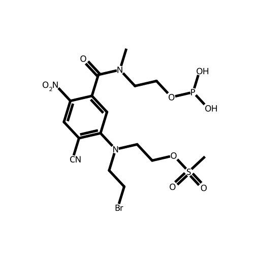 CN(CCOP(O)O)C(=O)c1cc(N(CCBr)CCOS(C)(=O)=O)c(C#N)cc1[N+](=O)[O-]